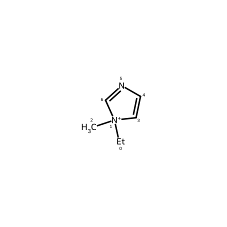 CC[N+]1(C)C=CN=C1